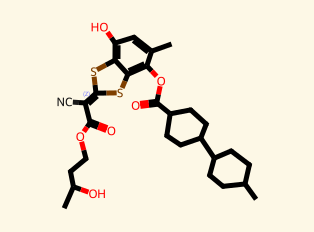 Cc1cc(O)c2c(c1OC(=O)C1CCC(C3CCC(C)CC3)CC1)S/C(=C(/C#N)C(=O)OCCC(C)O)S2